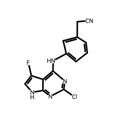 N#CCc1cccc(Nc2nc(Cl)nc3[nH]cc(F)c23)c1